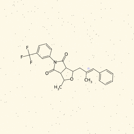 C/C(=C\c1ccccc1)CC1OC(C)C2C(=O)N(c3cccc(C(F)(F)F)c3)C(=O)C12